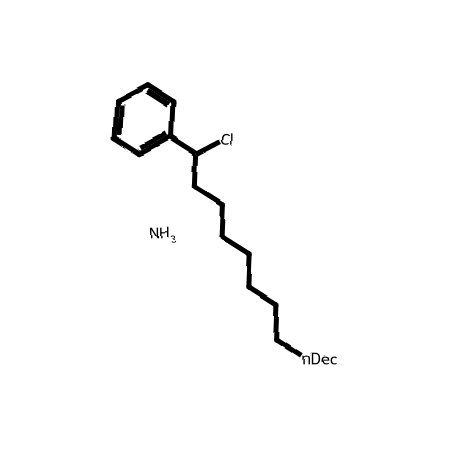 CCCCCCCCCCCCCCCCCC(Cl)c1ccccc1.N